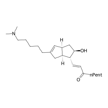 CCCCCC(=O)/C=C/[C@@H]1[C@H]2CC(CCCCCN(C)C)=C[C@H]2C[C@H]1O